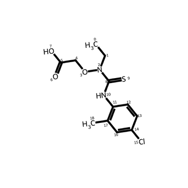 CCN(OCC(=O)O)C(=S)Nc1ccc(Cl)cc1C